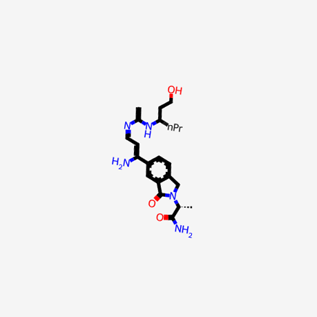 C=C(/N=C\C=C(/N)c1ccc2c(c1)C(=O)N([C@H](C)C(N)=O)C2)NC(CCC)CCO